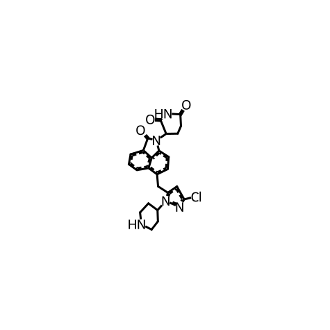 O=C1CCC(N2C(=O)c3cccc4c(Cc5cc(Cl)nn5C5CCNCC5)ccc2c34)C(=O)N1